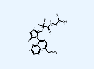 NCc1ccc(-n2c(Br)cnc2SC(F)(F)C(=O)NCC(O)O)c2ccccc12